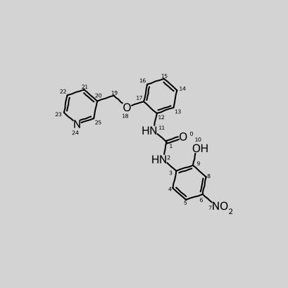 O=C(Nc1ccc([N+](=O)[O-])cc1O)Nc1ccccc1OCc1cccnc1